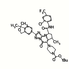 CC1CC(C(=O)Nc2ccc(C(F)(F)F)cc2Cl)n2c1c(N1CCN(C(=O)OC(C)(C)C)CC1)c(=O)n1nc(-c3ccc4c(c3)COC4(C)C)nc21